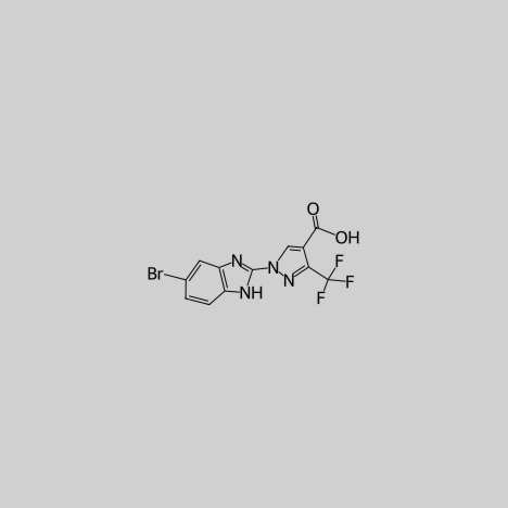 O=C(O)c1cn(-c2nc3cc(Br)ccc3[nH]2)nc1C(F)(F)F